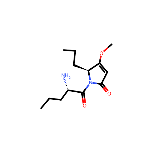 CCC[C@H](N)C(=O)N1C(=O)C=C(OC)[C@@H]1CCC